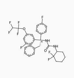 O=C(NC1CCCCC1(F)F)N[C@](Cc1ccccc1)(c1ccc(F)cc1)c1cc(F)cc(OC(F)(F)C(F)F)c1